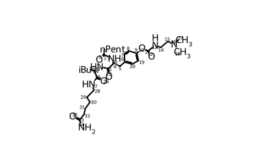 CCCCCC(=O)N[C@@H](Cc1ccc(OC(=O)NCCN(C)C)cc1)C(=O)NC(C(=O)NCCCCCC(N)=O)C(C)CC